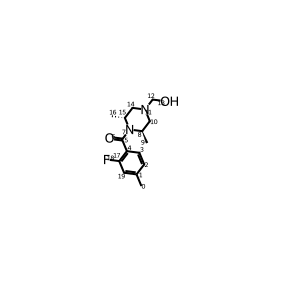 Cc1ccc(C(=O)N2[C@H](C)CN(CO)C[C@H]2C)c(F)c1